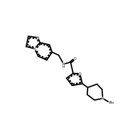 CC(C)(C)N1CCC(c2ccc(C(=O)NCc3ccn4ccnc4c3)o2)CC1